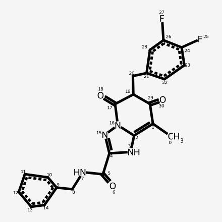 CC1=C2NC(C(=O)NCc3ccccc3)=NN2C(=O)C(Cc2ccc(F)c(F)c2)C1=O